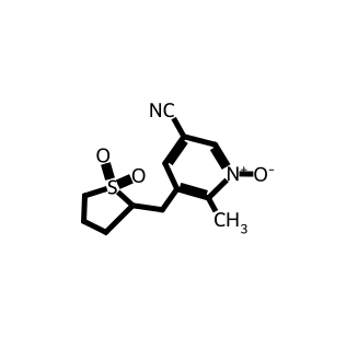 Cc1c(CC2CCCS2(=O)=O)cc(C#N)c[n+]1[O-]